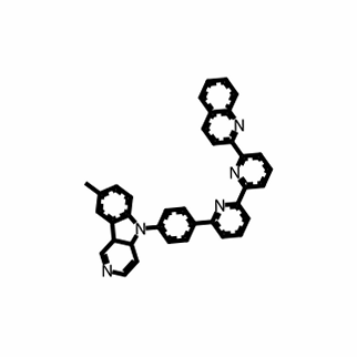 Cc1ccc2c(c1)C1C=NC=CC1N2c1ccc(-c2cccc(-c3cccc(-c4ccc5ccccc5n4)n3)n2)cc1